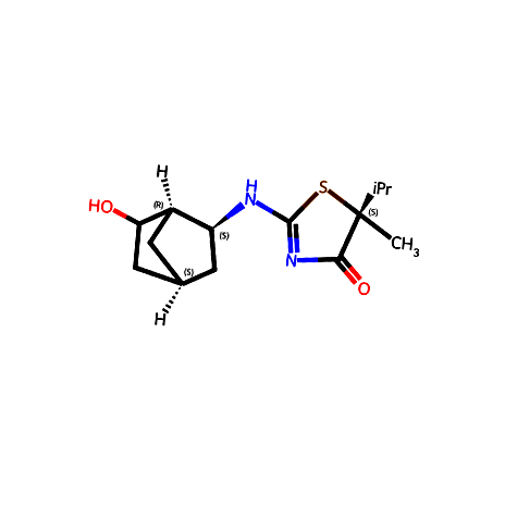 CC(C)[C@]1(C)SC(N[C@H]2C[C@H]3CC(O)[C@@H]2C3)=NC1=O